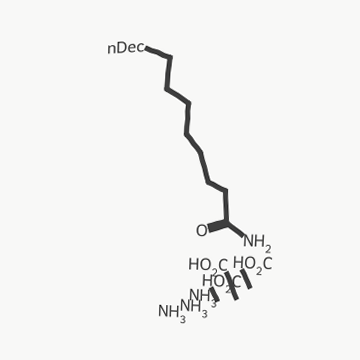 CC(=O)O.CC(=O)O.CC(=O)O.CCCCCCCCCCCCCCCCCC(N)=O.N.N.N